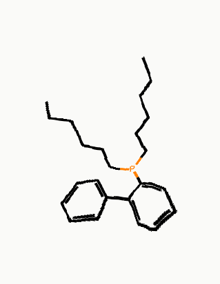 CCCCCCP(CCCCCC)c1ccccc1-c1ccccc1